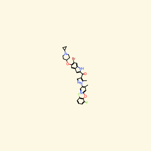 Cc1cc(Oc2c(F)cccc2F)ncc1-n1ncc(C(=O)c2cc3cc(OC4CCN(C5CC5)CC4)c(Br)cc3[nH]2)c1C